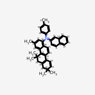 Cc1ccc(N(c2ccc3ccccc3c2)c2cc(C)cc3c4c(ccc23)C2=C(CC(C)(C)C=C2)CC4(C)C)cc1